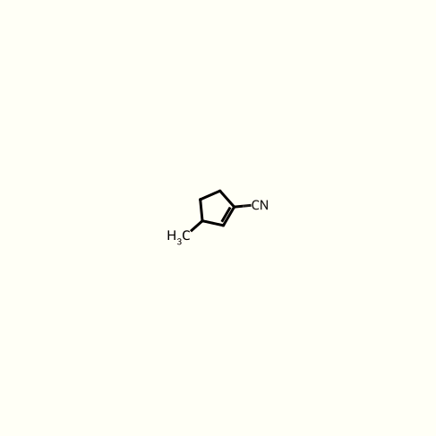 CC1C=C(C#N)CC1